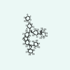 c1ccc(-c2ccc(N(c3ccc(C45CC6CC(CC(C6)C4)C5)cc3)c3ccc4sc5ccc(N(c6ccccc6)c6ccccc6)cc5c4c3)cc2)cc1